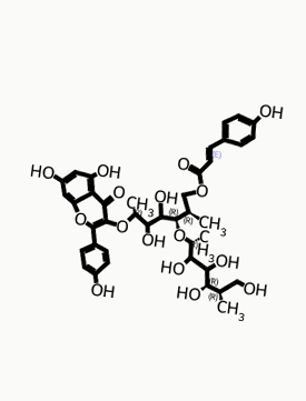 C[C@H](CO)[C@@H](O)C(O)C(O)[C@@H](C)O[C@@H](C(O)C(O)[C@@H](C)Oc1c(-c2ccc(O)cc2)oc2cc(O)cc(O)c2c1=O)[C@H](C)COC(=O)/C=C/c1ccc(O)cc1